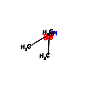 CCCCCCCCC=CCCCCCCCC(=O)OC(=O)CC(CNC(C)c1ccccc1)C(=O)OC(=O)CCCCCCCC=CCCCCCCCC